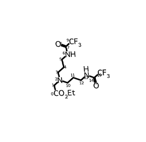 CCOC(=O)CN(CCCNC(=O)C(F)(F)F)CCCNC(=O)C(F)(F)F